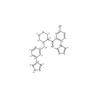 O=C(c1cc(Cl)ccc1-n1nccn1)N1CCOCC1Cc1cccc(-c2ncon2)c1